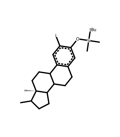 CC1CCC2C3CCc4cc(O[Si](C)(C)C(C)(C)C)c(I)cc4C3CC[C@]12C